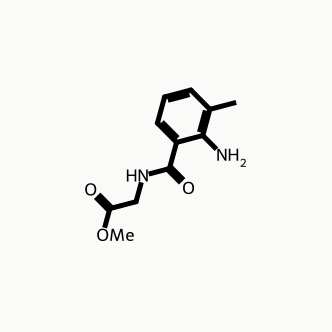 COC(=O)CNC(=O)c1cccc(C)c1N